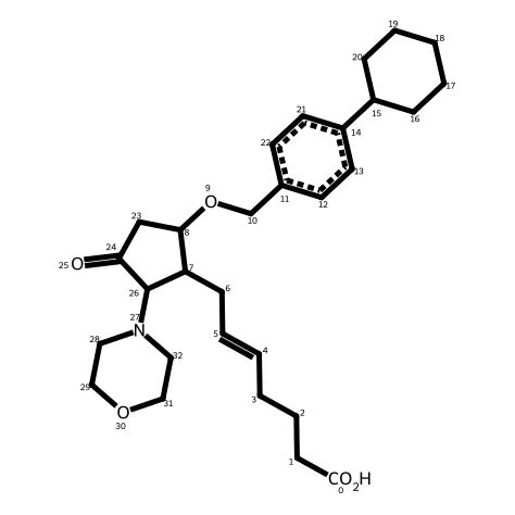 O=C(O)CCCC=CCC1C(OCc2ccc(C3CCCCC3)cc2)CC(=O)C1N1CCOCC1